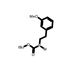 COc1cccc(CCN(Br)C(=O)OC(C)(C)C)c1